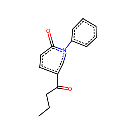 CCCC(=O)c1ccc(=O)n(-c2ccccc2)c1